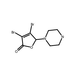 O=C1OC(N2CC[N]CC2)C(Br)=C1Br